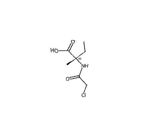 CC[C@](C)(NC(=O)CCl)C(=O)O